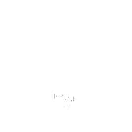 CCCCCCCCCCCCCCCCCCCC[C@@H](O)[C@@H](N)CO